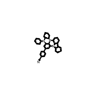 N#Cc1ccc(-c2cc3c4c(c2)-n2c5ccccc5c5cccc(c52)B4c2ccccc2N3c2ccccc2)cc1